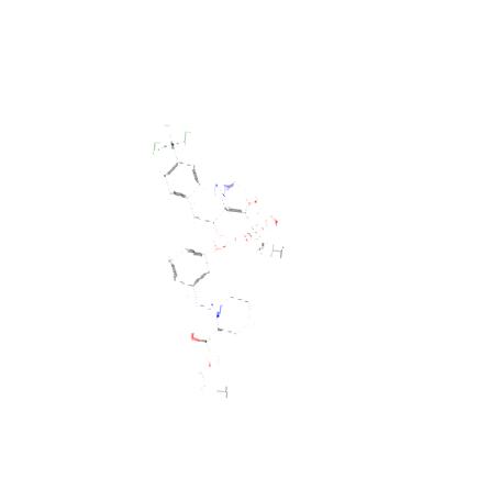 CCOC(=O)C1CSCCN1Cc1cccc(OC(Cc2ccc(C(F)(F)F)cc2)c2ncoc2S(C)(=O)=O)c1